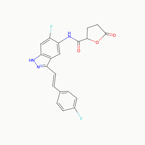 O=C1CCC(C(=O)Nc2cc3c(/C=C/c4ccc(F)cc4)n[nH]c3cc2F)O1